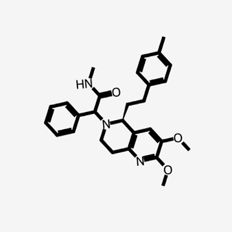 CNC(=O)C(c1ccccc1)N1CCc2nc(OC)c(OC)cc2[C@@H]1CCc1ccc(C)cc1